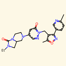 CCN1CC2CN(c3cnn(Cc4c(-c5ccc(C)nc5)noc4C)c(=O)c3)CCN2C1=O